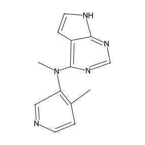 Cc1ccncc1N(C)c1ncnc2[nH]ccc12